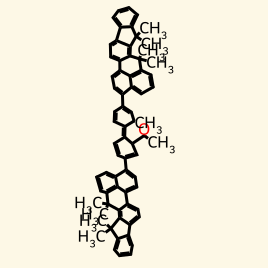 CC(=O)C1C=C(c2ccc3c4c(cccc24)C(C)(C)c2c-3ccc3c2C(C)(C)c2ccccc2-3)C=C/C1=C1\C=CC(c2ccc3c4c(cccc24)C(C)(C)c2c-3ccc3c2C(C)(C)c2ccccc2-3)=CC1C